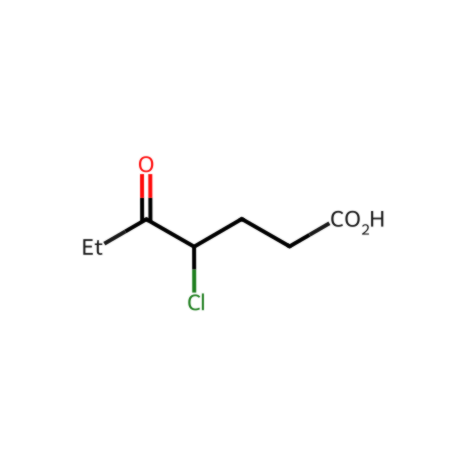 CCC(=O)C(Cl)CCC(=O)O